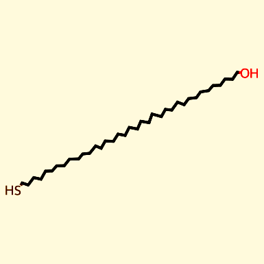 OCCCCCCCCCCCCCCCCCCCCCCCCCCCCCCCCCCCCCS